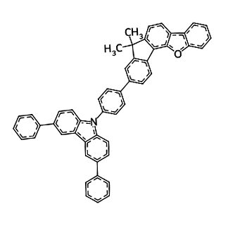 CC1(C)c2cc(-c3ccc(-n4c5ccc(-c6ccccc6)cc5c5cc(-c6ccccc6)ccc54)cc3)ccc2-c2c1ccc1c2oc2ccccc21